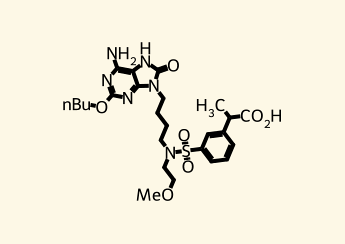 CCCCOc1nc(N)c2[nH]c(=O)n(CCCCN(CCOC)S(=O)(=O)c3cccc(C(C)C(=O)O)c3)c2n1